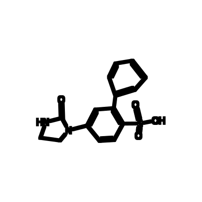 O=C1NCCN1c1ccc(S(=O)(=O)O)c(-c2ccccc2)c1